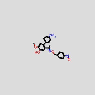 COc1cc(-c2ccc(N)cc2)c(/C(C)=N/OCc2ccc(N=O)cc2)cc1O